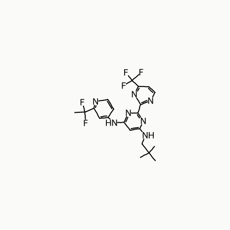 CC(C)(C)CNc1cc(Nc2ccnc(C(C)(F)F)c2)nc(-c2nccc(C(F)(F)F)n2)n1